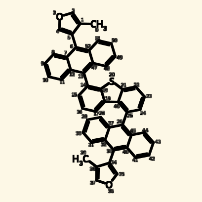 Cc1cocc1-c1c2ccccc2c(-c2cccc3c2sc2cccc(-c4c5ccccc5c(-c5cocc5C)c5ccccc45)c23)c2ccccc12